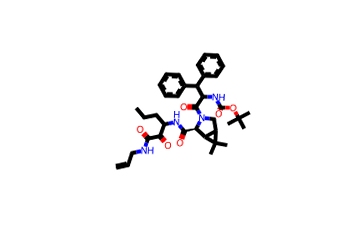 C=CCNC(=O)C(=O)C(CCC)NC(=O)[C@@H]1C2C(CN1C(=O)C(NC(=O)OC(C)(C)C)C(c1ccccc1)c1ccccc1)C2(C)C